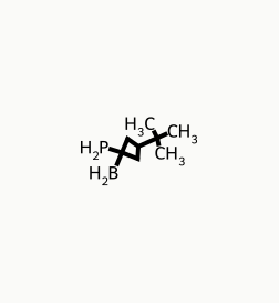 BC1(P)CC(C(C)(C)C)C1